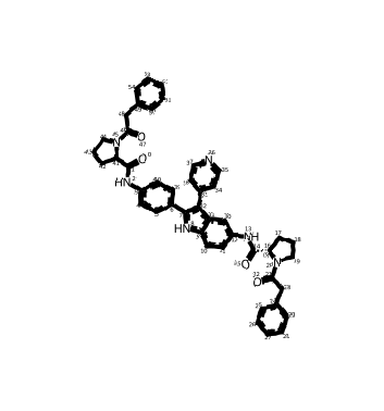 O=C(Nc1ccc(-c2[nH]c3ccc(NC(=O)[C@@H]4CCCN4C(=O)Cc4ccccc4)cc3c2-c2ccncc2)cc1)C1CCCN1C(=O)Cc1ccccc1